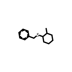 CC1CCCCC1SCc1ccccc1